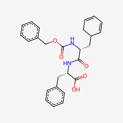 O=C(N[C@H](CC1C=CC=CC1)C(=O)N[C@@H](Cc1ccccc1)C(=O)O)OCc1ccccc1